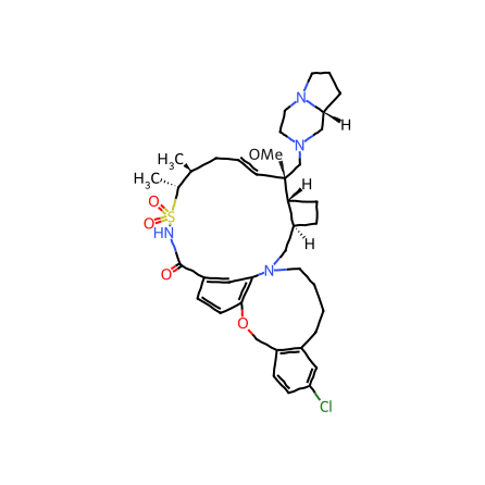 CO[C@]1(CN2CCN3CCC[C@@H]3C2)/C=C/C[C@H](C)[C@@H](C)S(=O)(=O)NC(=O)c2ccc3c(c2)N(CCCCc2cc(Cl)ccc2CO3)C[C@@H]2CC[C@H]21